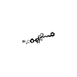 Cc1ccc(-c2cnc3nc(C(=O)CCCCCc4ccccc4)oc3c2)cc1